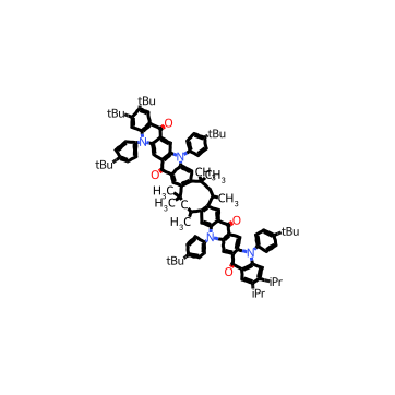 CC(C)c1cc2c(=O)c3cc4c(cc3n(-c3ccc(C(C)(C)C)cc3)c2cc1C(C)C)c(=O)c1cc2c(cc1n4-c1ccc(C(C)(C)C)cc1)C(C)CC(C)(C)c1cc3c(=O)c4cc5c(cc4n(-c4ccc(C(C)(C)C)cc4)c3cc1C(C)(C)CC2C)c(=O)c1cc(C(C)(C)C)c(C(C)(C)C)cc1n5-c1ccc(C(C)(C)C)cc1